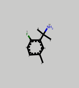 Cc1ccc(F)c(C(C)(C)N)c1